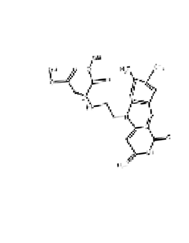 C=c1nc2c(c(=O)[nH]1)=Nc1cc(C)c(C)cc1N2CCN[C@@H](CC(=O)OC(C)(C)C)C(=O)OC(C)(C)C